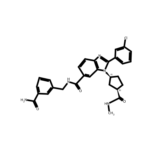 CNC(=O)[C@@H]1CC[C@H](n2c(-c3cccc(Cl)c3)nc3ccc(C(=O)NCc4cccc(C(N)=O)c4)cc32)C1